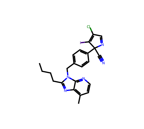 CCCCc1nc2c(C)ccnc2n1Cc1ccc(C2(C#N)N=CC(Cl)=C2I)cc1